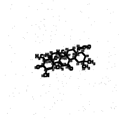 C[C@@H]1C(=O)C(C#N)=C[C@]2(C)C3=CC(=O)C4C5CC(C)(C)CC[C@]5(N=C=O)CC[C@@]4(C)[C@]3(C)CC[C@@H]12